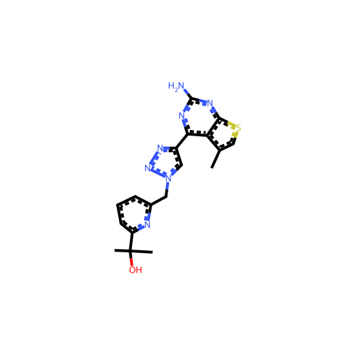 Cc1csc2nc(N)nc(-c3cn(Cc4cccc(C(C)(C)O)n4)nn3)c12